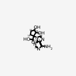 Nc1ncnc2c1ncn2C1(C(=O)O)CCC(O)C1O